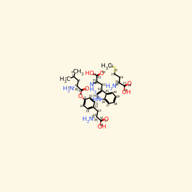 CC(C)C[C@@H](N)C(=O)Oc1ccc(C[C@@H](N)C(=O)O)cc1.CSCC[C@@H](N)C(=O)O.N[C@H](Cc1c[nH]c2ccccc12)C(=O)O